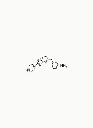 CN1CCN(c2nc3[c]c(Cc4cccc(N)c4)ccn3n2)CC1